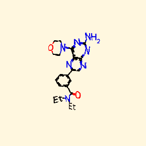 CCN(CC)C(=O)c1cccc(-c2cnc3nc(N)nc(N4CCOCC4)c3n2)c1